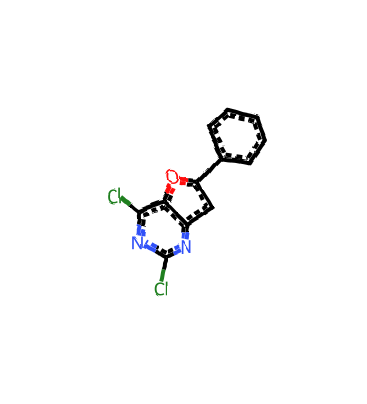 Clc1nc(Cl)c2oc(-c3ccccc3)cc2n1